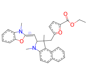 CCOC(=O)c1ccc(CC2(C)c3c(ccc4ccccc34)N(C)C2/C=C2\Oc3ccccc3N2C)o1